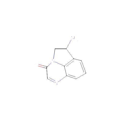 NC1Cn2c(=O)cnc3cccc1c32